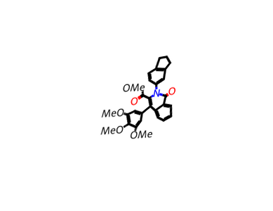 COC(=O)c1c(-c2cc(OC)c(OC)c(OC)c2)c2ccccc2c(=O)n1-c1ccc2c(c1)CCC2